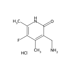 Cc1[nH]c(=O)c(CN)c(C)c1F.Cl